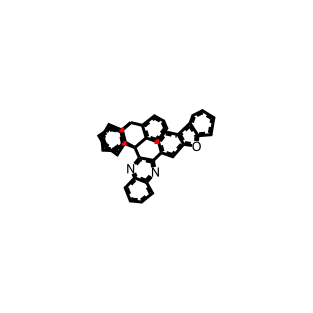 c1ccc2c(c1)C1c3ccccc3C2(c2nc3ccccc3nc2-c2ccc3c(c2)oc2ccccc23)c2ccccc21